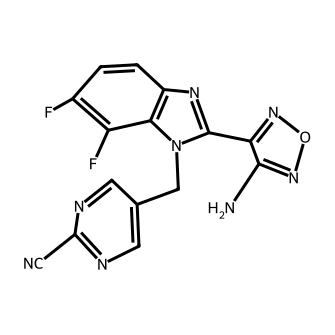 N#Cc1ncc(Cn2c(-c3nonc3N)nc3ccc(F)c(F)c32)cn1